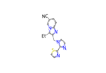 CCc1c(Cn2ccnc2-c2nccs2)nc2ccc(C#N)cn12